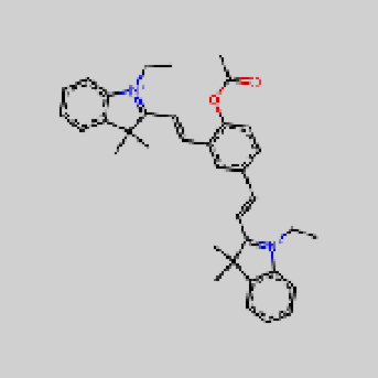 CC[N+]1=C(/C=C/c2ccc(OC(C)=O)c(/C=C/C3=[N+](CC)c4ccccc4C3(C)C)c2)C(C)(C)c2ccccc21